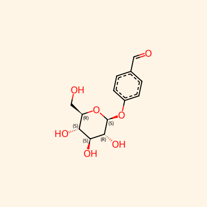 O=Cc1ccc(O[C@@H]2O[C@H](CO)[C@@H](O)[C@H](O)[C@H]2O)cc1